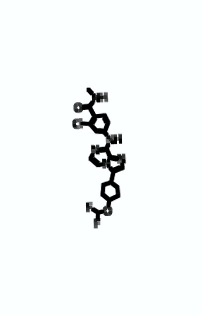 CNC(=O)c1ccc(Nc2nccn3c(C4CCC(OC(F)F)CC4)cnc23)cc1Cl